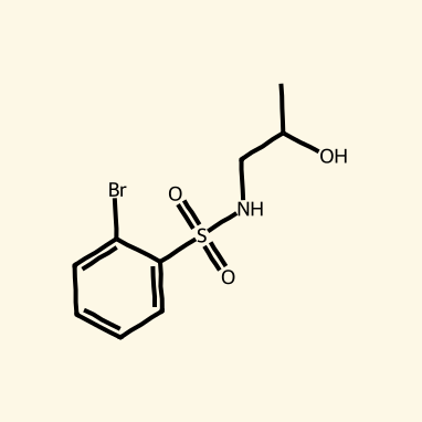 CC(O)CNS(=O)(=O)c1ccccc1Br